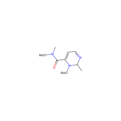 CON(C)C(=O)C1=CC=NC(C)N1OC